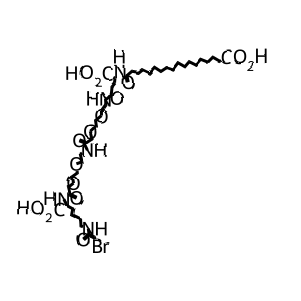 O=C(O)CCCCCCCCCCCCCCCCC(=O)NC(CCC(=O)NCCOCCOCC(=O)NCCOCCOCC(=O)N[C@@H](CCCCNC(=O)CBr)C(=O)O)C(=O)O